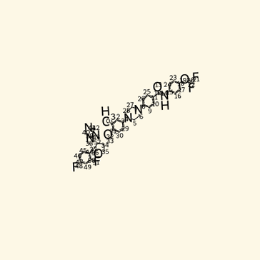 Cc1cc(N2CCN(c3ccc(C(=O)Nc4ccc(OC(F)F)cc4)cc3)CC2)ccc1OC[C@@H]1CO[C@@](Cn2cncn2)(c2ccc(F)cc2F)C1